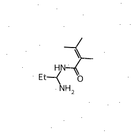 CCC(N)NC(=O)C(C)=C(C)C